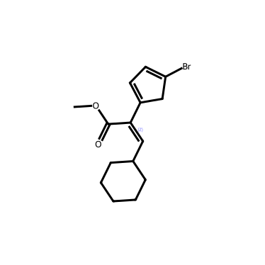 COC(=O)/C(=C\C1CCCCC1)C1=CC=C(Br)C1